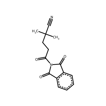 CC(C)(C#N)CCC(=O)N1C(=O)c2ccccc2C1=O